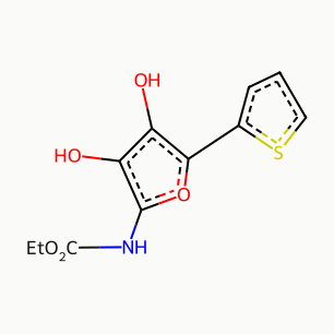 CCOC(=O)Nc1oc(-c2cccs2)c(O)c1O